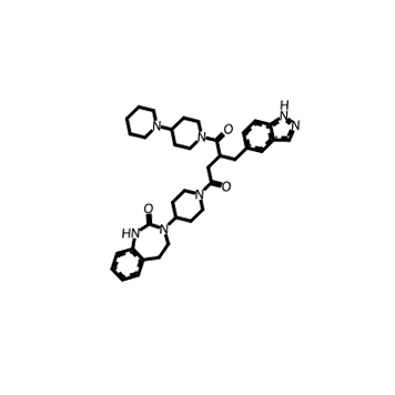 O=C(CC(Cc1ccc2[nH]ncc2c1)C(=O)N1CCC(N2CCCCC2)CC1)N1CCC(N2CCc3ccccc3NC2=O)CC1